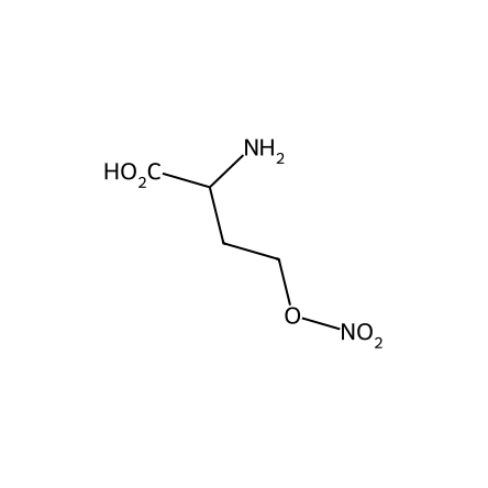 NC(CCO[N+](=O)[O-])C(=O)O